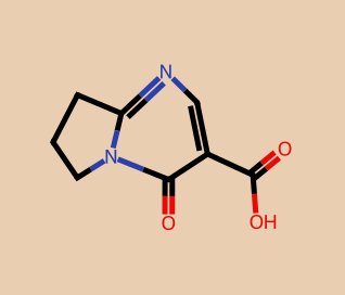 O=C(O)c1cnc2n(c1=O)CCC2